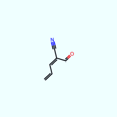 C=C/C=C(\[C]=O)C#N